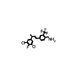 CC(/C=C/c1ccc(CN)c(C(F)(F)F)c1)c1cc(Cl)c(F)c(Cl)c1